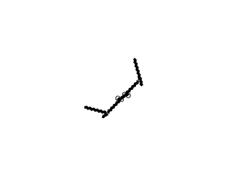 CCCCCCCCCCCCN(CCC)CCCCCCCCCC(=O)OCCOC(=O)CCCCCCCCCN(CCC)CCCCCCCCCCCC